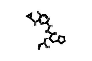 O=CN(O)C[C@@H](CC1CCCC1)C(=O)NNc1ncc(F)c(NC2CC2)n1